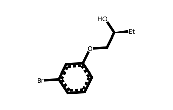 CC[C@H](O)COc1cccc(Br)c1